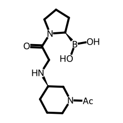 CC(=O)N1CCC[C@@H](NCC(=O)N2CCC[C@H]2B(O)O)C1